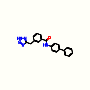 O=C(Nc1ccc(-c2ccccc2)cc1)c1cccc(Cc2nn[nH]n2)c1